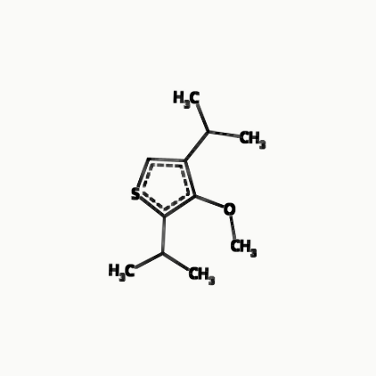 COc1c(C(C)C)csc1C(C)C